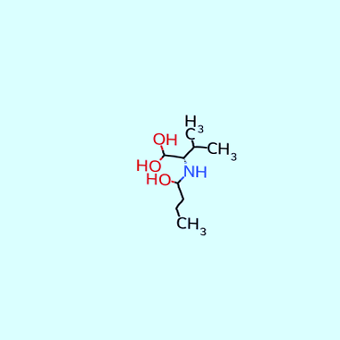 CCCC(O)N[C@@H](C(C)C)C(O)O